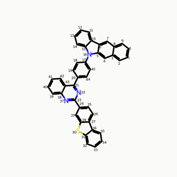 c1ccc2cc3c(cc2c1)c1ccccc1n3-c1ccc(-c2nc(-c3ccc4c(c3)sc3ccccc34)nc3ccccc23)cc1